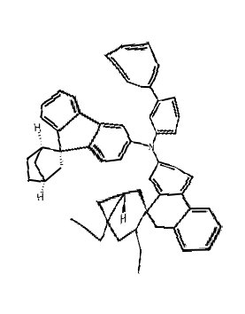 CCC1CC2(CC)C[C@@H]2C[C@@]12Cc1ccccc1-c1ccc(N(c3cccc(-c4ccccc4)c3)c3ccc4c(c3)-c3ccccc3[C@@]43C[C@H]4CC[C@@H]3C4)cc12